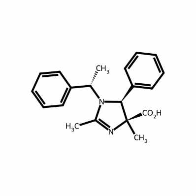 CC1=N[C@](C)(C(=O)O)[C@H](c2ccccc2)N1[C@@H](C)c1ccccc1